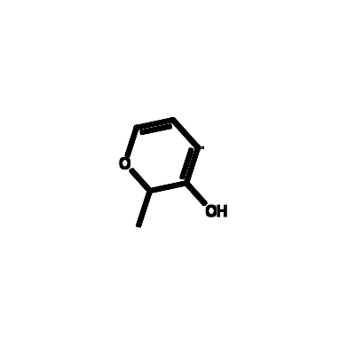 CC1OC=C[C]=C1O